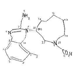 Cc1cccc2nc(N)n([C@@H]3CCCCN(C(=O)O)C3)c12